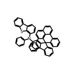 c1ccc(-c2ccc3cccc4c3c2C2(c3ccccc3-c3ccc(N(c5ccccc5)c5cccc6c5sc5ccccc56)cc32)c2ccccc2-4)cc1